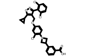 O=C(O)c1cccc(C2CN(c3ccc(OCc4c(-c5c(Cl)cccc5Cl)noc4C4CC4)cc3Cl)C2)c1